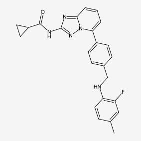 Cc1ccc(NCc2ccc(-c3cccc4nc(NC(=O)C5CC5)nn34)cc2)c(F)c1